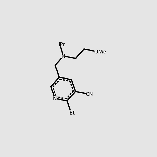 CCc1ncc(CN(CCOC)C(C)C)cc1C#N